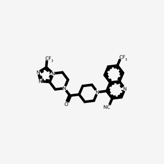 N#Cc1cnc2cc(C(F)(F)F)ccc2c1N1CCC(C(=O)N2CCn3c(nnc3C(F)(F)F)C2)CC1